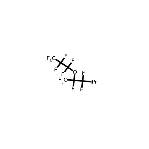 CC(C)C(F)(F)C(F)(OC(F)(F)C(F)(F)C(F)(F)F)C(F)(F)F